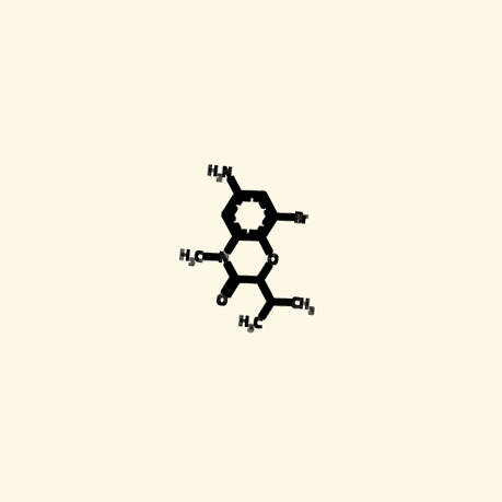 CC(C)C1Oc2c(Br)cc(N)cc2N(C)C1=O